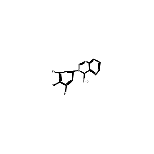 O=CC1c2ccccc2N=CN1c1cc(F)c(F)c(F)c1